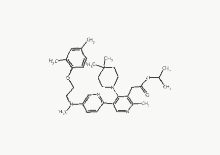 Cc1ccc(OCCN(C)c2ccc(-c3cnc(C)c(CC(=O)OC(C)C)c3N3CCC(C)(C)CC3)nc2)c(C)c1